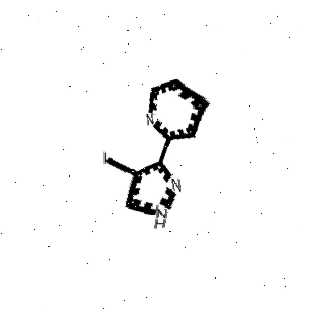 Ic1c[nH]nc1-c1ccccn1